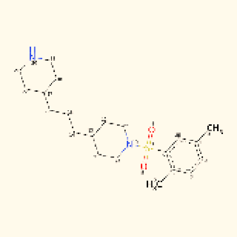 Cc1ccc(C)c(S(=O)(=O)N2CCC(CCCC3CCNCC3)CC2)c1